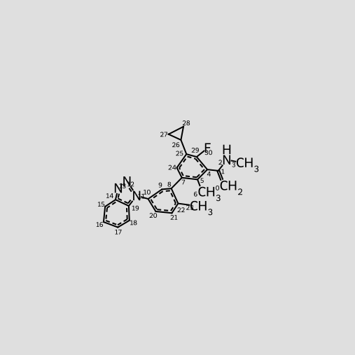 C=C(NC)c1c(C)c(-c2cc(-n3nnc4ccccc43)ccc2C)cc(C2CC2)c1F